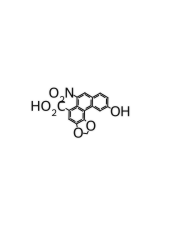 O=C(O)c1cc2c(c3c1c([N+](=O)[O-])cc1ccc(O)cc13)OCO2